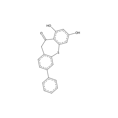 O=C1Cc2ccc(-c3ccccc3)cc2Sc2cc(O)cc(O)c21